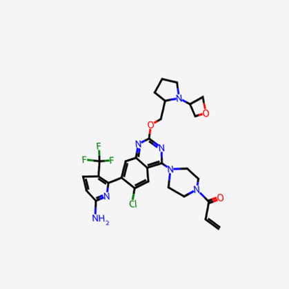 C=CC(=O)N1CCN(c2nc(OCC3CCCN3C3COC3)nc3cc(-c4nc(N)ccc4C(F)(F)F)c(Cl)cc23)CC1